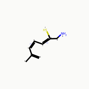 C=C(C)/C=C\C=C(/S)CN